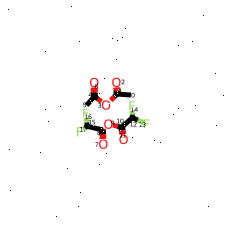 CC(=O)OC(C)=O.O=C(OC(=O)C(F)F)C(F)F